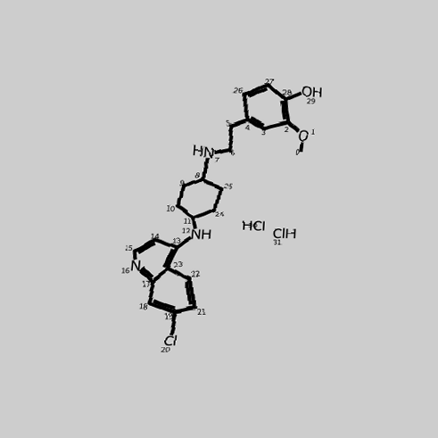 COc1cc(CCNC2CCC(Nc3ccnc4cc(Cl)ccc34)CC2)ccc1O.Cl.Cl